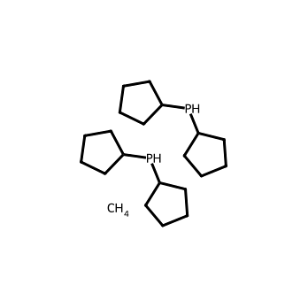 C.C1CCC(PC2CCCC2)C1.C1CCC(PC2CCCC2)C1